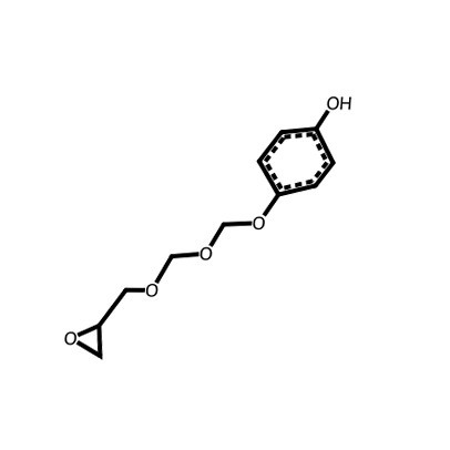 Oc1ccc(OCOCOCC2CO2)cc1